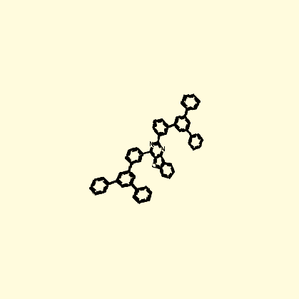 c1ccc(-c2cc(-c3ccccc3)cc(-c3cccc(-c4nc(-c5cccc(-c6cc(-c7ccccc7)cc(-c7ccccc7)c6)c5)c5oc6ccccc6c5n4)c3)c2)cc1